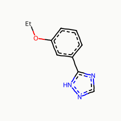 CCOc1cccc(-c2ncn[nH]2)c1